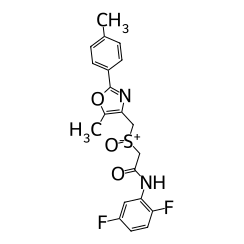 Cc1ccc(-c2nc(C[S+]([O-])CC(=O)Nc3cc(F)ccc3F)c(C)o2)cc1